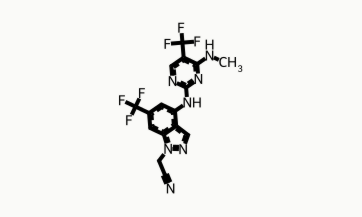 CNc1nc(Nc2cc(C(F)(F)F)cc3c2cnn3CC#N)ncc1C(F)(F)F